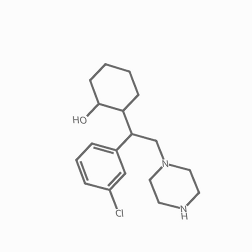 OC1CCCCC1C(CN1CCNCC1)c1cccc(Cl)c1